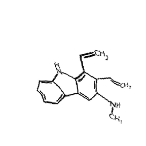 C=Cc1c(NC)cc2c([nH]c3ccccc32)c1C=C